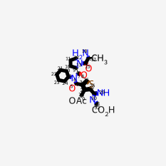 CC(=O)OCc1c(C(=O)N(C(=O)[C@@H]2CCCN2C(=O)[C@H](C)N)C2CCCCC2)csc1C(=N)N=CC(=O)O